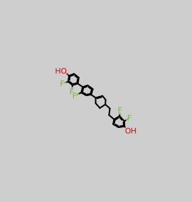 Oc1ccc(CCC2CC=C(c3ccc(-c4ccc(O)c(F)c4F)c(F)c3)CC2)c(F)c1F